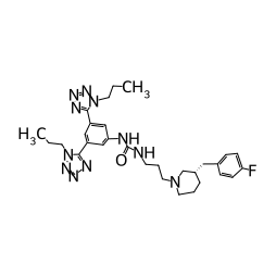 CCCn1nnnc1-c1cc(NC(=O)NCCCN2CCC[C@@H](Cc3ccc(F)cc3)C2)cc(-c2nnnn2CCC)c1